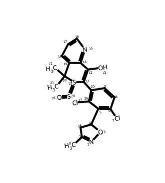 CC1=NOC(c2c(Cl)ccc(C3=C(O)c4ncccc4C(C)(C)S3=S=O)c2Cl)C1